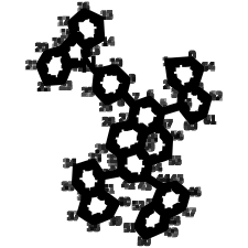 c1ccc2c(-c3cc(-c4ccc(-n5c6ccccc6c6ccccc65)cc4)c4ccc5c(-c6cccc7ccccc67)cc(-c6cccc7ccccc67)c6ccc3c4c56)cccc2c1